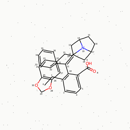 CCc1cccc(C(=O)O)c1C(=C1CC2CCC(C1)N2CCc1ccc2c(c1)OCO2)c1ccccc1